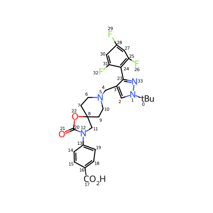 CC(C)(C)n1cc(CN2CCC3(CC2)CN(c2ccc(C(=O)O)cc2)C(=O)O3)c(-c2c(F)cc(F)cc2F)n1